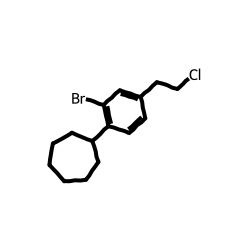 ClCCc1ccc(C2CCCCCC2)c(Br)c1